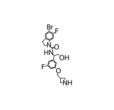 O=C(NC(CO)c1cc(F)cc(OCC2CNC2)c1)N1CCc2cc(Br)c(F)cc21